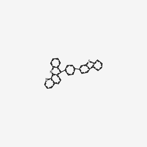 c1cnc2c(c1)ccc1c(-c3ccc(-c4ccc5c(c4)sc4ccccc45)cc3)c3ccccc3nc12